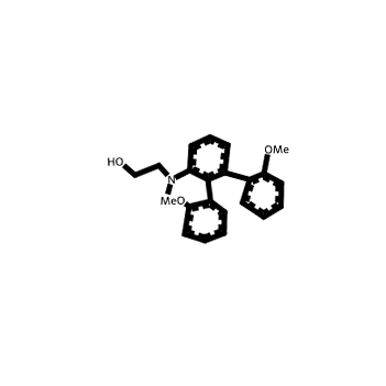 COc1ccccc1-c1cccc(N(C)CCO)c1-c1ccccc1OC